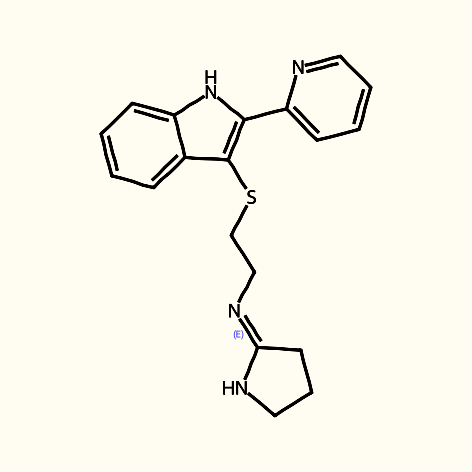 c1ccc(-c2[nH]c3ccccc3c2SCC/N=C2\CCCN2)nc1